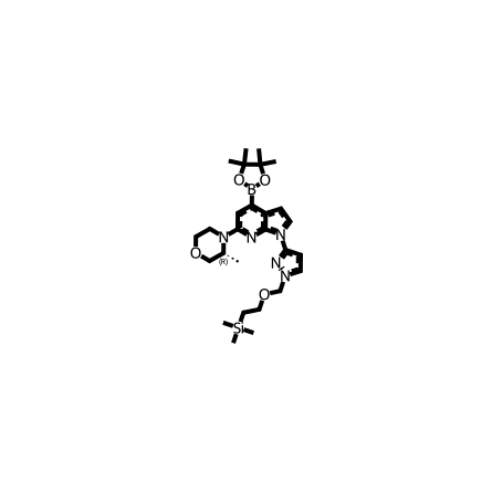 C[C@@H]1COCCN1c1cc(B2OC(C)(C)C(C)(C)O2)c2ccn(-c3ccn(COCC[Si](C)(C)C)n3)c2n1